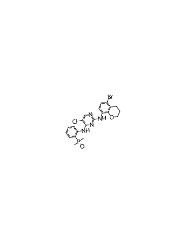 CP(C)(=O)c1ccccc1Nc1nc(Nc2ccc(Br)c3c2OCCC3)ncc1Cl